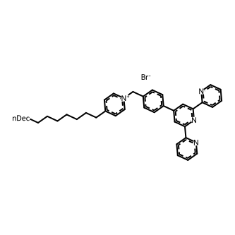 CCCCCCCCCCCCCCCCCc1cc[n+](Cc2ccc(-c3cc(-c4ccccn4)nc(-c4ccccn4)c3)cc2)cc1.[Br-]